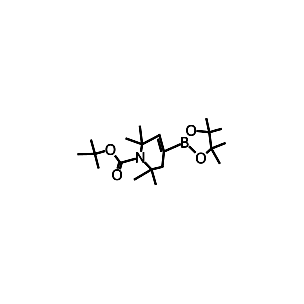 CC(C)(C)OC(=O)N1C(C)(C)C=C(B2OC(C)(C)C(C)(C)O2)CC1(C)C